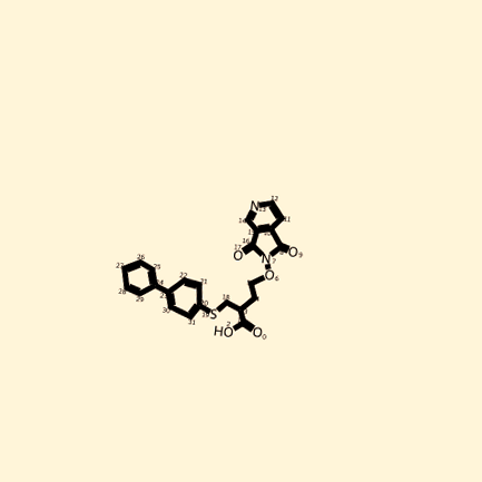 O=C(O)C(CCON1C(=O)c2ccncc2C1=O)CSc1ccc(-c2ccccc2)cc1